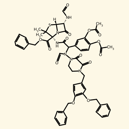 CC(=O)Oc1ccc(C(C(=O)N[C@@]2(C(=O)OCc3ccccc3)N3C(=O)[C@@H](NC=O)[C@H]3SC2(C)C)N(C=O)N2CCN(Cc3ccc(OCc4ccccc4)c(OCc4ccccc4)c3)C(=O)C2=O)cc1OC(C)=O